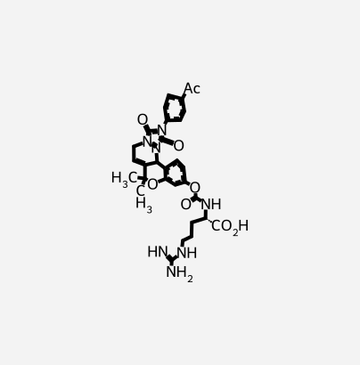 CC(=O)c1ccc(-n2c(=O)n3n(c2=O)C2C(=CC3)C(C)(C)Oc3cc(OC(=O)N[C@@H](CCCNC(=N)N)C(=O)O)ccc32)cc1